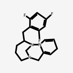 Fc1cc(F)c(CC2CCCN3CC4=CCC=CN4N2C3)c(F)c1